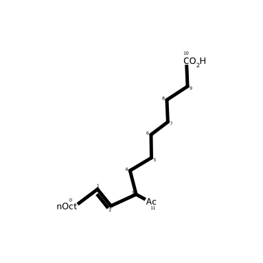 CCCCCCCC/C=C/C(CCCCCCC(=O)O)C(C)=O